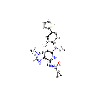 CCc1cc(-c2cccs2)ccc1N(C)c1cc2c(ncn2C)c(NC(=O)C2CC2)n1